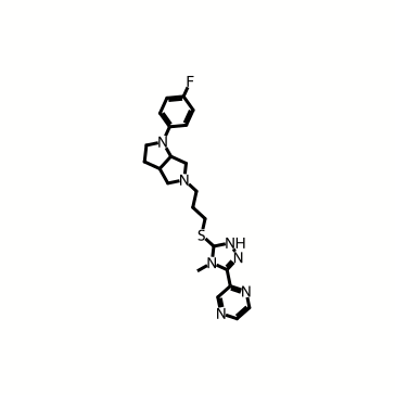 CN1C(c2cnccn2)=NNC1SCCCN1CC2CCN(c3ccc(F)cc3)C2C1